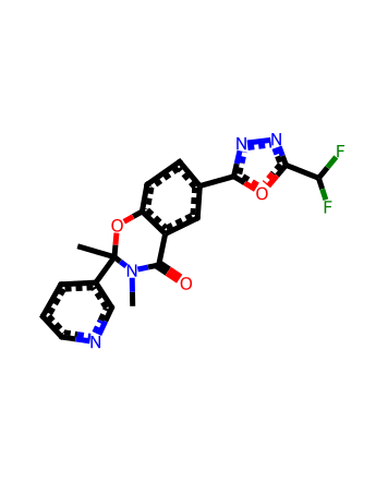 CN1C(=O)c2cc(-c3nnc(C(F)F)o3)ccc2OC1(C)c1cccnc1